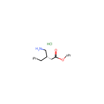 CCCOC(=O)C[C@@H](CN)CC(C)C.Cl